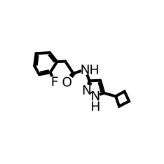 O=C(Cc1ccccc1F)Nc1cc(C2CCC2)[nH]n1